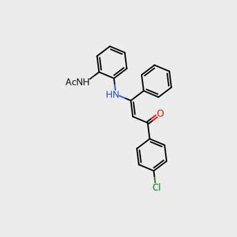 CC(=O)Nc1ccccc1NC(=CC(=O)c1ccc(Cl)cc1)c1ccccc1